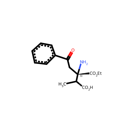 CCOC(=O)[C@](N)(CC(=O)c1ccccc1)C(C)C(=O)O